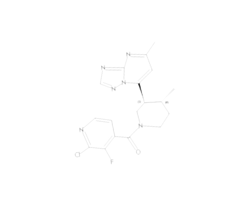 Cc1cc([C@@H]2CN(C(=O)c3ccnc(Cl)c3F)CC[C@H]2C)n2ncnc2n1